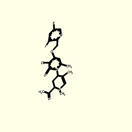 CC(=O)C1CC(n2c(C)cc(OCc3ncc(F)cc3F)c(Cl)c2=O)C(C)=CN1C